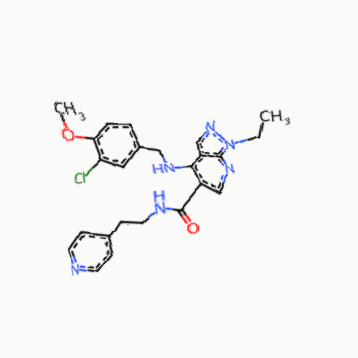 CCn1ncc2c(NCc3ccc(OC)c(Cl)c3)c(C(=O)NCCc3ccncc3)cnc21